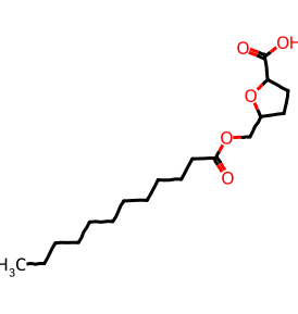 CCCCCCCCCCCC(=O)OCC1CCC(C(=O)O)O1